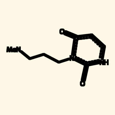 CNCCCn1c(=O)cc[nH]c1=O